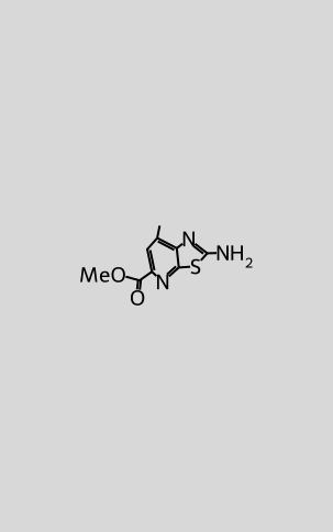 COC(=O)c1cc(C)c2nc(N)sc2n1